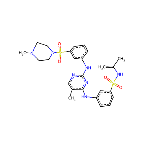 C=C(C)NS(=O)(=O)c1cccc(Nc2nc(Nc3cccc(S(=O)(=O)N4CCN(C)CC4)c3)ncc2C)c1